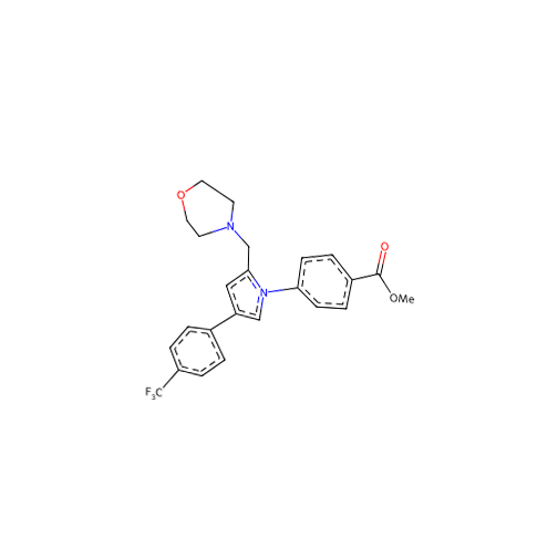 COC(=O)c1ccc(-n2cc(-c3ccc(C(F)(F)F)cc3)cc2CN2CCOCC2)cc1